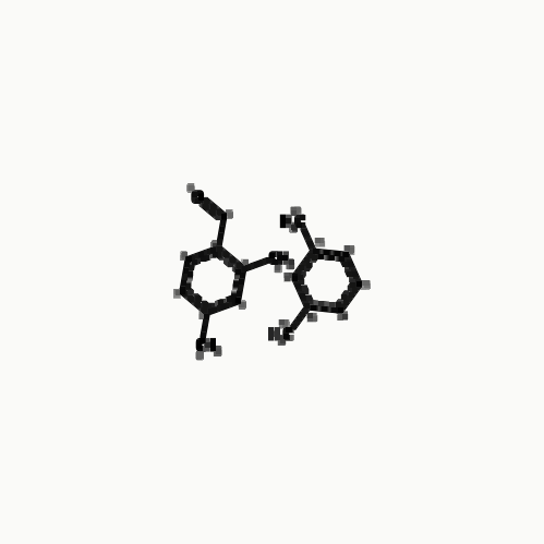 Cc1ccc(C=O)c(C)c1.Cc1cccc(C)c1